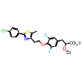 CCOC(Cc1cc(F)c(OCCc2nc(-c3ccc(Cl)cc3)sc2C)c(F)c1)C(=O)O